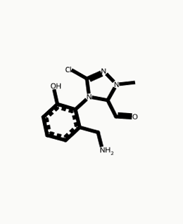 CN1N=C(Cl)N(c2c(O)cccc2CN)C1C=O